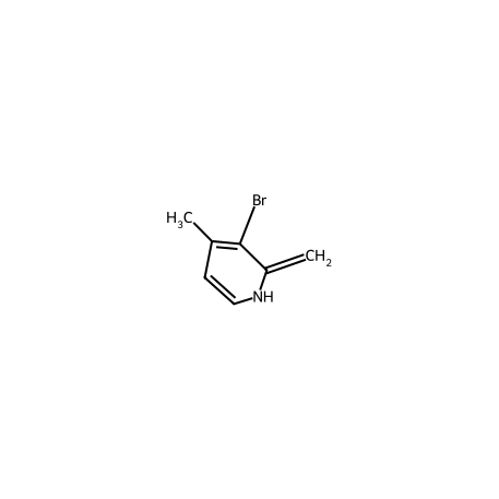 C=C1NC=CC(C)=C1Br